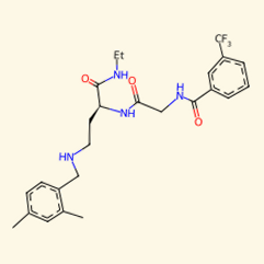 CCNC(=O)[C@H](CCNCc1ccc(C)cc1C)NC(=O)CNC(=O)c1cccc(C(F)(F)F)c1